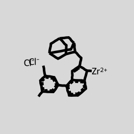 Cc1cc(C)cc(-c2cccc3c2C=C(CC2C4CC5CC(C4)CC2C5)[CH]3[Zr+2])c1.[Cl-].[Cl-]